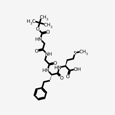 CSCC[C@H](NC(=O)[C@H](CCc1ccccc1)NC(=O)CNC(=O)CNC(=O)OC(C)(C)C)C(=O)O